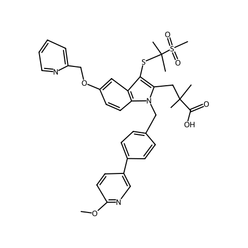 COc1ccc(-c2ccc(Cn3c(CC(C)(C)C(=O)O)c(SC(C)(C)S(C)(=O)=O)c4cc(OCc5ccccn5)ccc43)cc2)cn1